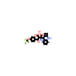 NC(C(=O)O)(C(C=O)C(=O)c1ccc(OC(F)(F)F)cc1)C1c2ccccc2NC2CCC21